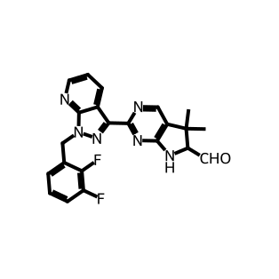 CC1(C)c2cnc(-c3nn(Cc4cccc(F)c4F)c4ncccc34)nc2NC1C=O